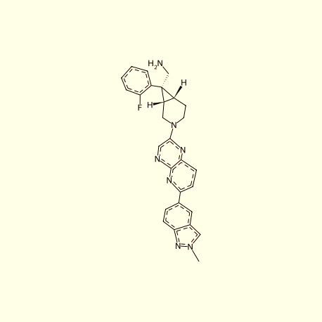 Cn1cc2cc(-c3ccc4nc(N5CC[C@@H]6[C@H](C5)[C@@]6(CN)c5ccccc5F)cnc4n3)ccc2n1